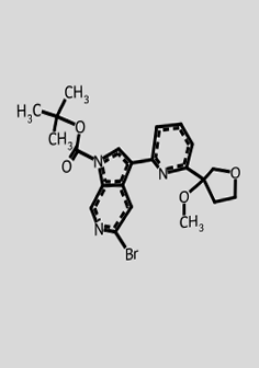 COC1(c2cccc(-c3cn(C(=O)OC(C)(C)C)c4cnc(Br)cc34)n2)CCOC1